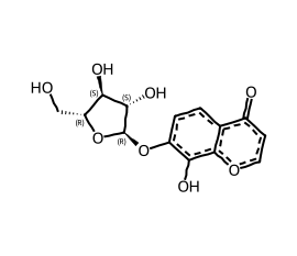 O=c1ccoc2c(O)c(O[C@H]3O[C@H](CO)[C@@H](O)[C@@H]3O)ccc12